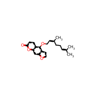 CC(C)=CCC/C(C)=C\COc1c2ccoc2cc2oc(=O)ccc12